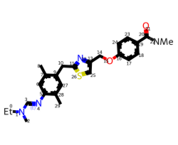 CCN(C)/C=N/c1cc(C)c(Cc2nc(COc3ccc(C(=O)NC)cc3)cs2)cc1C